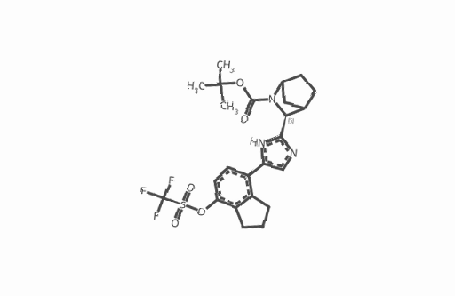 CC(C)(C)OC(=O)N1C2CCC(C2)[C@H]1c1ncc(-c2ccc(OS(=O)(=O)C(F)(F)F)c3c2CCC3)[nH]1